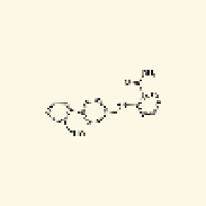 NC(=O)c1cccnc1NCc1ccc(-c2ccccc2C=O)cc1